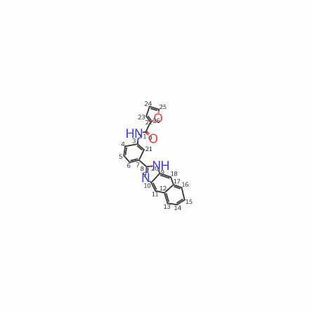 O=C(Nc1cccc(-c2nc3cc4ccccc4cc3[nH]2)c1)c1ccco1